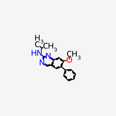 COc1cc2nc(NC(C)C)ncc2cc1-c1ccccc1